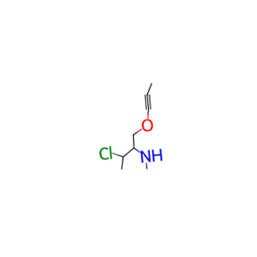 CC#COCC(NC)C(C)Cl